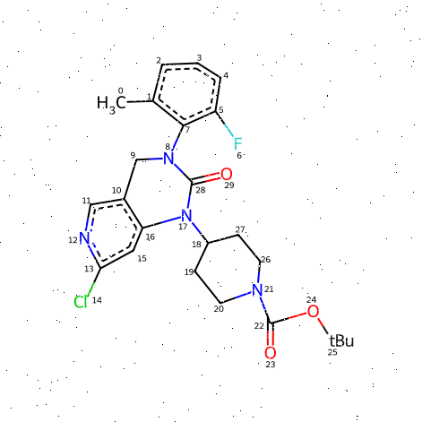 Cc1cccc(F)c1N1Cc2cnc(Cl)cc2N(C2CCN(C(=O)OC(C)(C)C)CC2)C1=O